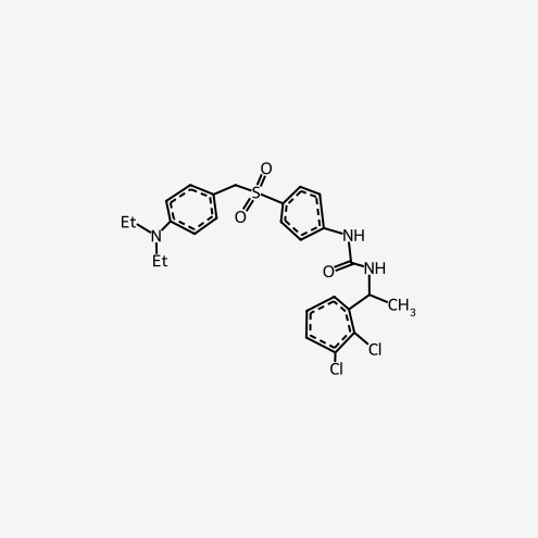 CCN(CC)c1ccc(CS(=O)(=O)c2ccc(NC(=O)NC(C)c3cccc(Cl)c3Cl)cc2)cc1